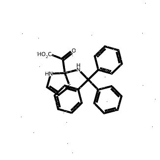 O=C(O)C(=O)C1(NC(c2ccccc2)(c2ccccc2)c2ccccc2)NC=CS1